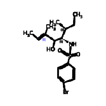 C/C=C(\C)C(O)[C@@H](NS(=O)(=O)c1ccc(Br)cc1)[C@@H](C)CC